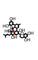 CC(C)=CCc1c(O)ccc(C(=O)C2C(c3c(O)ccc(C4CCc5c(O)cc(O)cc5O4)c3O)C=C(C)CC2c2cc(O)cc(O)c2)c1O